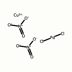 O=[N+]([O-])[O-].O=[N+]([O-])[O-].[Cl][Pd][Cl].[Cu+2]